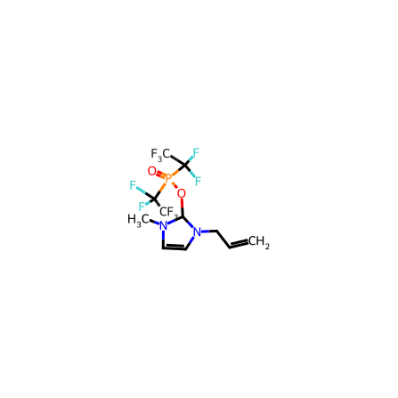 C=CCN1C=CN(C)C1OP(=O)(C(F)(F)C(F)(F)F)C(F)(F)C(F)(F)F